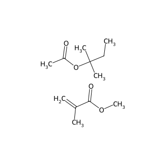 C=C(C)C(=O)OC.CCC(C)(C)OC(C)=O